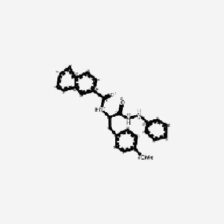 COc1ccc(CC(NC(=O)c2ccc3ccccc3c2)C(=O)NNc2ccccc2)cc1